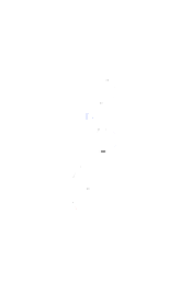 O=C(O)c1ccc(-c2cncc(Nc3ccc(Cl)cc3)c2)cc1O